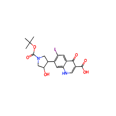 CC(C)(C)OC(=O)N1CC(O)C(c2cc3[nH]cc(C(=O)O)c(=O)c3cc2I)C1